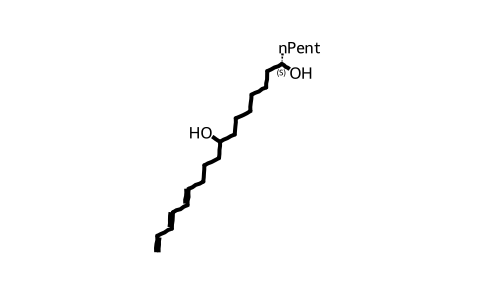 C=CC=CC=CCCCC(O)CCCCCC[C@@H](O)CCCCC